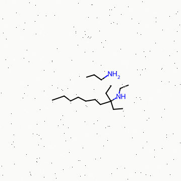 CCCCCCCC(CC)(CC)NCC.CCCN